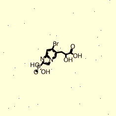 O=C(O)C(O)Cc1cn2cc(P(=O)(O)O)nc2cc1Br